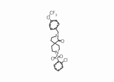 O=C1N(Cc2ccc(OC(F)(F)F)cc2)CCC12CCN(S(=O)(=O)c1ccccc1Cl)CC2